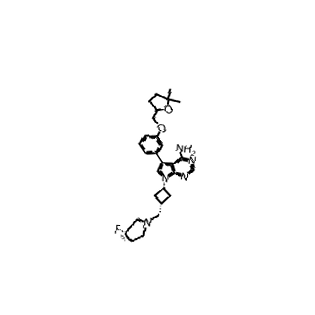 CC1(C)CCC(COc2cccc(-c3cn([C@H]4C[C@@H](CN5CC[C@H](F)C5)C4)c4ncnc(N)c34)c2)O1